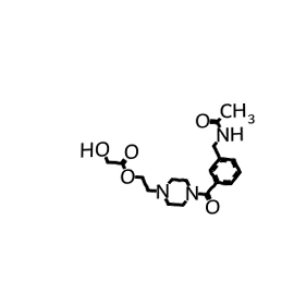 CC(=O)NCc1cccc(C(=O)N2CCN(CCOC(=O)CO)CC2)c1